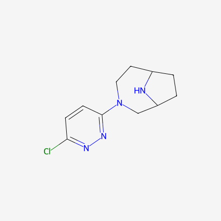 Clc1ccc(N2CCC3CCC(C2)N3)nn1